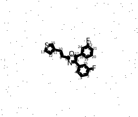 Fc1cccc(-c2nc(/C=C/c3ccsc3)oc2-c2cccc(F)c2)c1